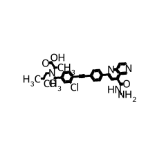 CC(C)CN(C(=O)c1ccc(C#Cc2ccc(-c3cc(C(=O)NN)c4cnccc4n3)cc2)c(Cl)c1)C(C)C(=O)O